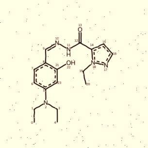 CCN(CC)c1ccc(/C=N\NC(=O)c2ccnn2CC)c(O)c1